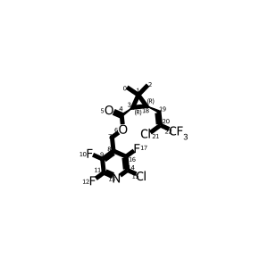 CC1(C)[C@H](C(=O)OCc2c(F)c(F)nc(Cl)c2F)[C@@H]1C=C(Cl)C(F)(F)F